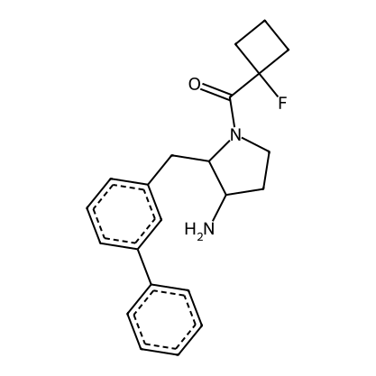 NC1CCN(C(=O)C2(F)CCC2)C1Cc1cccc(-c2ccccc2)c1